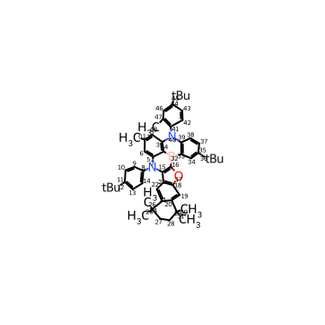 Cc1cc2c3c(c1)N(c1ccc(C(C)(C)C)cc1)c1c(oc4cc5c(cc14)C(C)(C)CCC5(C)C)B3c1cc(C(C)(C)C)ccc1N2c1ccc(C(C)(C)C)cc1C